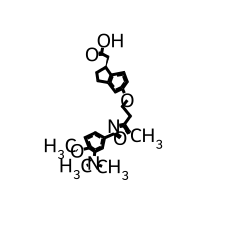 COc1ccc(-c2nc(CCOc3ccc4c(c3)CC[C@H]4CC(=O)O)c(C)o2)cc1N(C)C